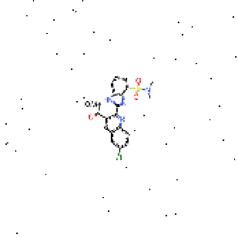 COC(=O)c1cc2cc(Cl)ccc2nc1-c1nc2c(S(=O)(=O)N(C)C)cccc2[nH]1